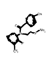 Cc1cccc(N(CCSN)C(=O)c2ccc(C#N)cc2)c1F